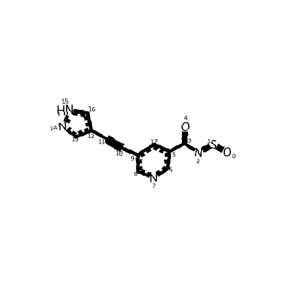 O=S=NC(=O)c1cncc(C#Cc2cn[nH]c2)c1